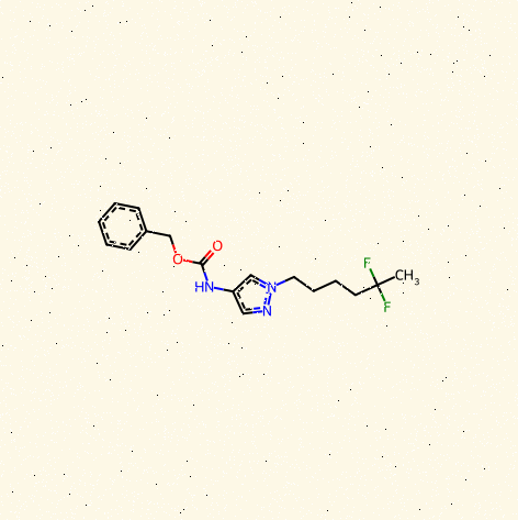 CC(F)(F)CCCCn1cc(NC(=O)OCc2ccccc2)cn1